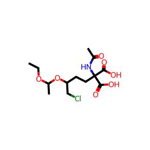 CCOC(C)OC(CCl)CCC(NC(C)=O)(C(=O)O)C(=O)O